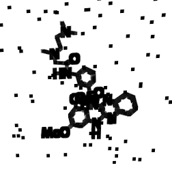 COc1cc(Nc2nc3ccccc3nc2NS(=O)(=O)c2cccc(NC(=O)CN(C)CCN(C)C)c2)cc(OC)c1